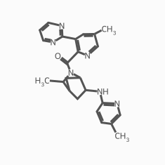 Cc1ccc(NC2CC3CC2N(C(=O)c2ncc(C)cc2-c2ncccn2)C3C)nc1